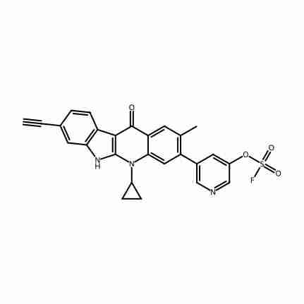 C#Cc1ccc2c(c1)[nH]c1c2c(=O)c2cc(C)c(-c3cncc(OS(=O)(=O)F)c3)cc2n1C1CC1